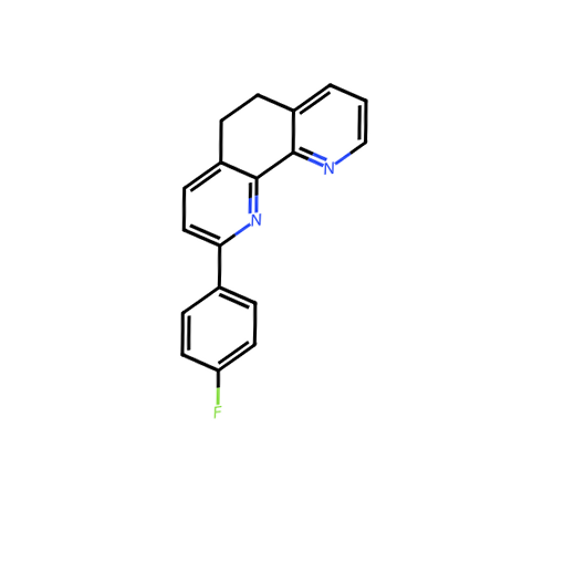 Fc1ccc(-c2ccc3c(n2)-c2ncccc2CC3)cc1